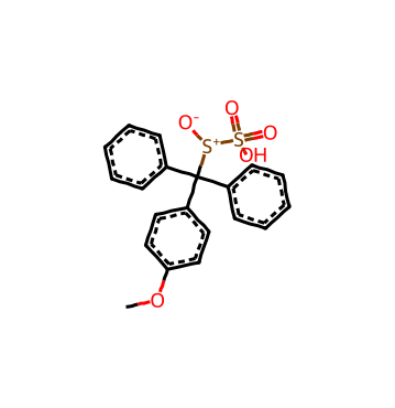 COc1ccc(C(c2ccccc2)(c2ccccc2)[S+]([O-])S(=O)(=O)O)cc1